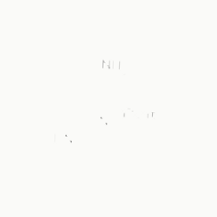 CCCCCN1CCNCC1CCN